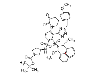 COc1ccc(Cn2nnc(-c3c(N4CCCC(=O)C4=O)ccc(S(=O)(=O)N[C@@H]4CCN(C(=O)OC(C)(C)C)C4)c3S(=O)(=O)N([C@H](OC)c3ccccc3)[C@H](OC)c3ccccc3)n2)cc1